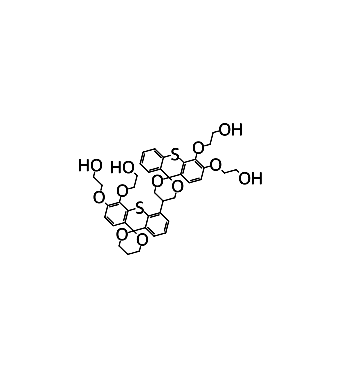 OCCOc1ccc2c(c1OCCO)Sc1ccccc1C21OCC(c2cccc3c2Sc2c(ccc(OCCO)c2OCCO)C32OCCCO2)CO1